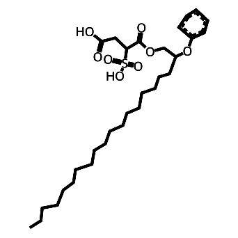 CCCCCCCCCCCCCCCCCCC(COC(=O)C(CC(=O)O)S(=O)(=O)O)Oc1ccccc1